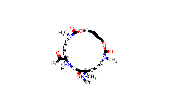 CC(C)N[C@]1(C)CCCN(C)C(=O)OC/C=C/COC(=O)N(C)CCC[C@](C)(C(=O)C(C)C)NCC1=O